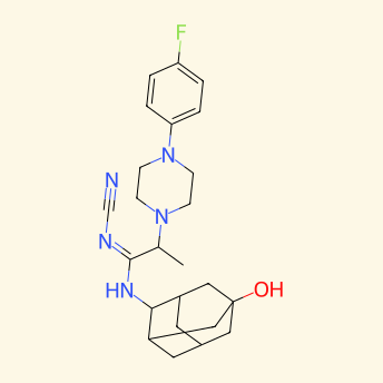 CC(/C(=N\C#N)NC1C2CC3CC1CC(O)(C3)C2)N1CCN(c2ccc(F)cc2)CC1